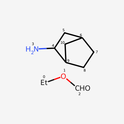 CCOC=O.NC1CC2CCC1C2